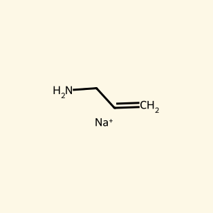 C=CCN.[Na+]